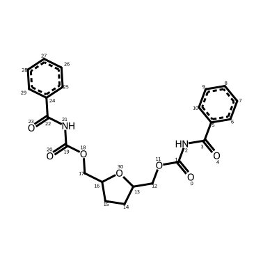 O=C(NC(=O)c1ccccc1)OCC1CCC(COC(=O)NC(=O)c2ccccc2)O1